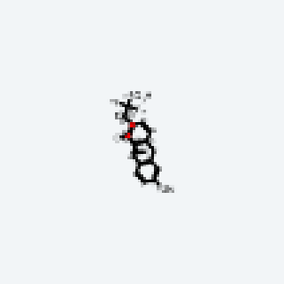 CC(C)(C)c1ccc2c(c1)C1CC(C(=O)OCC(F)(F)S(=O)(=O)O)C2c2cc(C(C)(C)C)ccc21